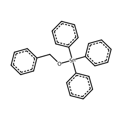 c1ccc(C[O][Sn]([c]2ccccc2)([c]2ccccc2)[c]2ccccc2)cc1